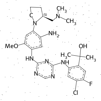 COc1cc(N2CCC[C@H]2CN(C)C)c(N)cc1Nc1ncnc(Nc2cc(Cl)c(F)cc2C(C)(C)O)n1